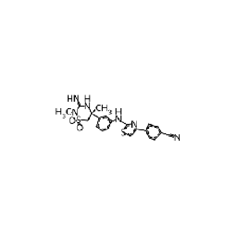 CN1C(=N)N[C@](C)(c2cccc(Nc3nc(-c4ccc(C#N)cc4)cs3)c2)CS1(=O)=O